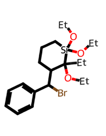 CCOC1(CC)C(C(Br)c2ccccc2)CCC[Si]1(OCC)OCC